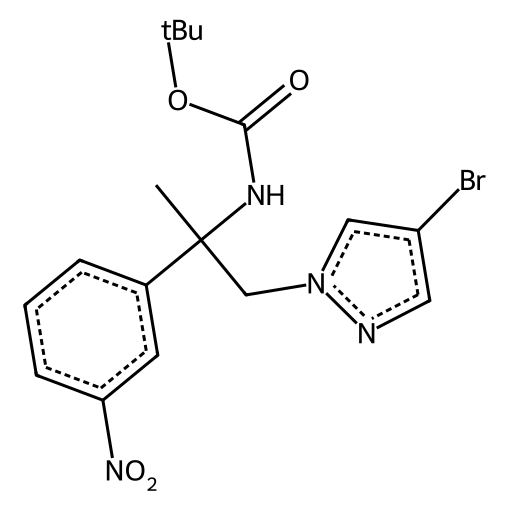 CC(C)(C)OC(=O)NC(C)(Cn1cc(Br)cn1)c1cccc([N+](=O)[O-])c1